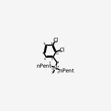 CCCCC[N+](C)(CCCCC)Cc1cccc(Cl)c1Cl